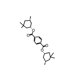 C[C@H]1C[C@H](OC(=O)c2ccc(C(=O)O[C@H]3C[C@H](C)CC(C)(C)C3)cc2)CC(C)(C)C1